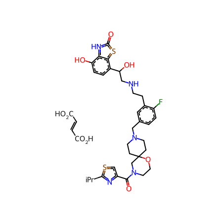 CC(C)c1nc(C(=O)N2CCOC3(CCN(Cc4ccc(F)c(CCNCC(O)c5ccc(O)c6[nH]c(=O)sc56)c4)CC3)C2)cs1.O=C(O)C=CC(=O)O